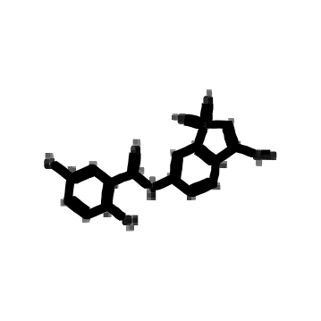 COC1=CS(=O)(=O)c2cc(NC(=O)c3cc(Cl)ccc3O)ccc21